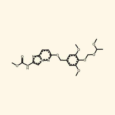 COC(=O)Nc1cn2nc(OCc3cc(OC)c(OCOC(C)OC)c(OC)c3)ccc2n1